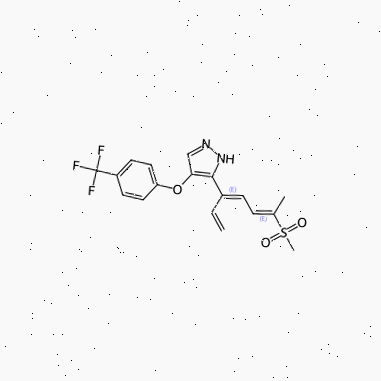 C=C/C(=C\C=C(/C)S(C)(=O)=O)c1[nH]ncc1Oc1ccc(C(F)(F)F)cc1